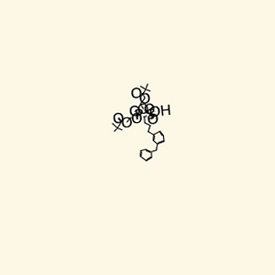 CC(C)(C)C(=O)OCOP(=O)(OCOC(=O)C(C)(C)C)C(CCCc1cccc(Cc2ccccc2)c1)S(=O)(=O)O